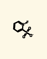 O=S(=O)([O-])c1cccc[n+]1F